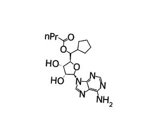 CCCC(=O)OC(C1CCCC1)[C@H]1O[C@@H](n2cnc3c(N)ncnc32)[C@H](O)[C@@H]1O